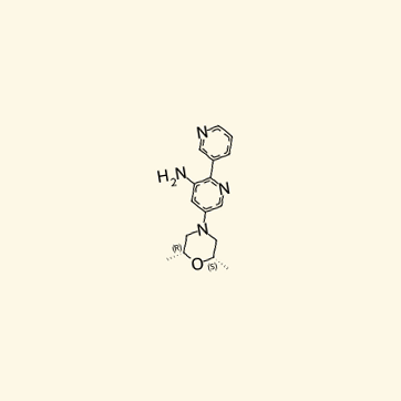 C[C@@H]1CN(c2cnc(-c3cccnc3)c(N)c2)C[C@H](C)O1